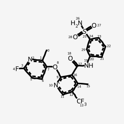 Cc1nc(F)ccc1Oc1ncc(C(F)(F)F)c(C)c1C(=O)Nc1cccc(S(N)(=O)=O)c1